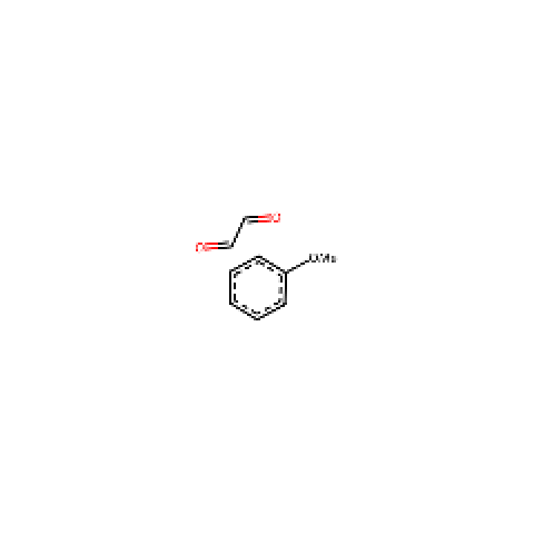 COc1ccccc1.O=CC=O